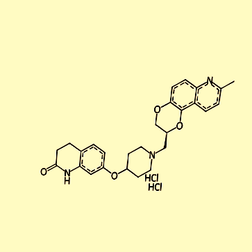 Cc1ccc2c3c(ccc2n1)OC[C@H](CN1CCC(Oc2ccc4c(c2)NC(=O)CC4)CC1)O3.Cl.Cl